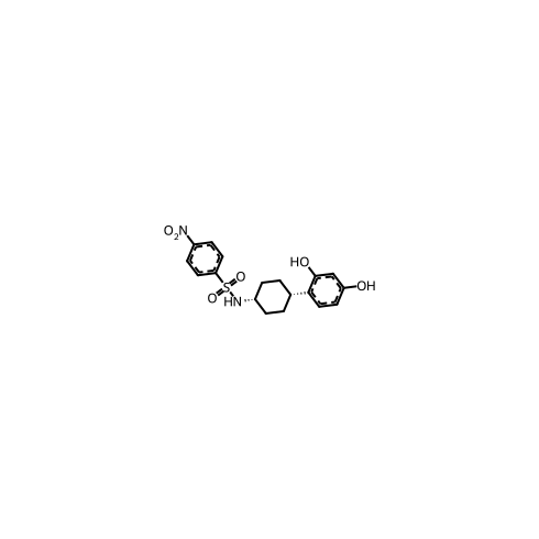 O=[N+]([O-])c1ccc(S(=O)(=O)N[C@H]2CC[C@@H](c3ccc(O)cc3O)CC2)cc1